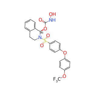 O=C(NO)O[C@@H]1c2ccccc2CCN1S(=O)(=O)c1ccc(Oc2ccc(OC(F)(F)F)cc2)cc1